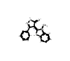 CN1/C(=C2\C(=O)ON=C2c2ccccc2)Sc2ccccc21